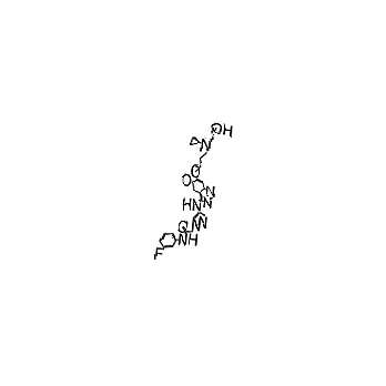 COc1cc2c(Nc3cnn(CC(=O)Nc4cccc(F)c4)c3)ncnc2cc1OCCCN(CCO)C1CC1